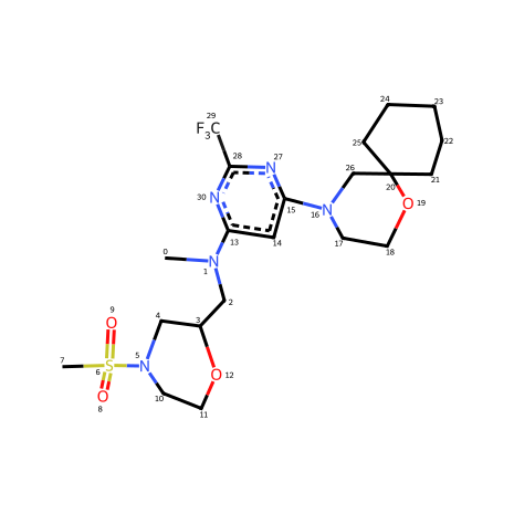 CN(CC1CN(S(C)(=O)=O)CCO1)c1cc(N2CCOC3(CCCCC3)C2)nc(C(F)(F)F)n1